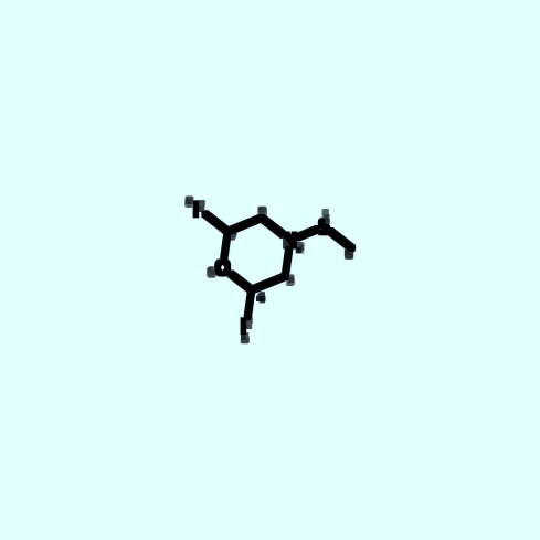 CSN1CC(F)OC(F)C1